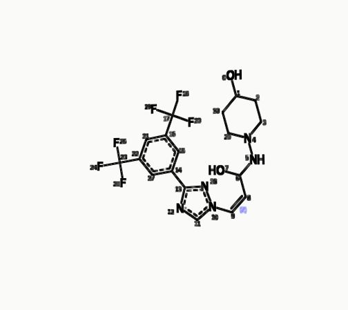 OC1CCN(NC(O)/C=C\n2cnc(-c3cc(C(F)(F)F)cc(C(F)(F)F)c3)n2)CC1